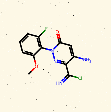 COc1cccc(F)c1-n1nc(C(=N)Cl)c(N)cc1=O